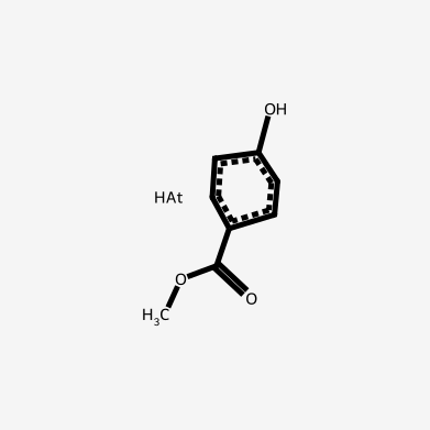 COC(=O)c1ccc(O)cc1.[AtH]